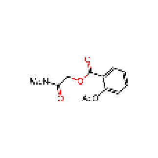 CNC(=O)COC(=O)c1ccccc1OC(C)=O